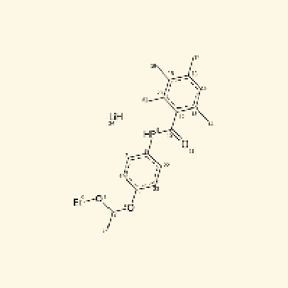 CCOC(C)Oc1ccc(PC(=O)c2c(C)cc(C)c(C)c2C)cc1.[LiH]